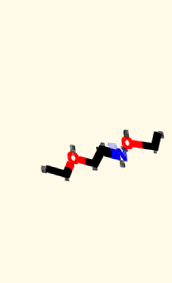 CCOC/[C]=N/OCC